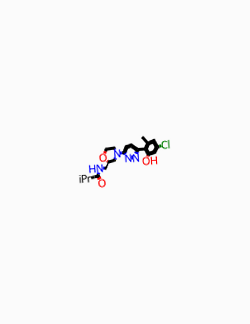 Cc1cc(Cl)cc(O)c1-c1ccc(N2CCO[C@H](CNC(=O)C(C)C)C2)nn1